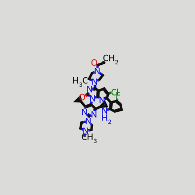 C=CC(=O)N1CCN(c2nc(=O)n(-c3c(C4CC4)nc(N4CCN(C)CC4)nc3C3CC3)c3nc(-c4c(N)cccc4F)c(Cl)cc23)[C@@H](C)C1